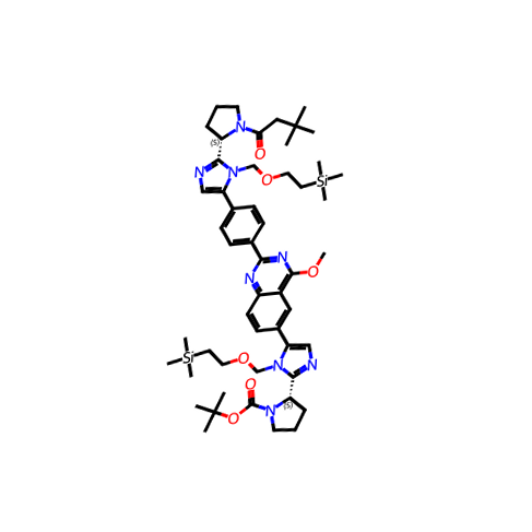 COc1nc(-c2ccc(-c3cnc([C@@H]4CCCN4C(=O)CC(C)(C)C)n3COCC[Si](C)(C)C)cc2)nc2ccc(-c3cnc([C@@H]4CCCN4C(=O)OC(C)(C)C)n3COCC[Si](C)(C)C)cc12